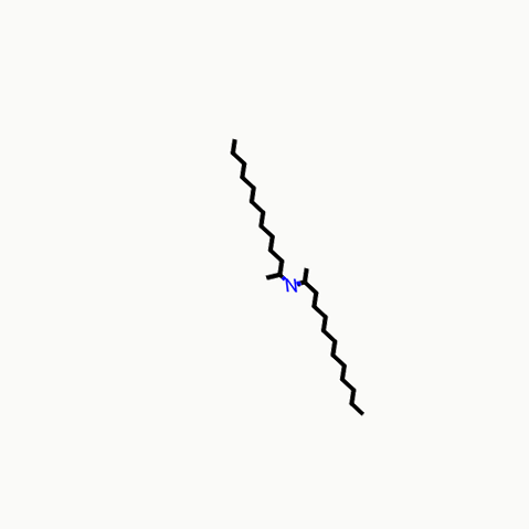 CCCCCCCCCCCC(C)[N]C(C)CCCCCCCCCCC